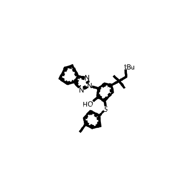 Cc1ccc(Sc2cc(C(C)(C)CC(C)(C)C)cc(-n3nc4ccccc4n3)c2O)cc1